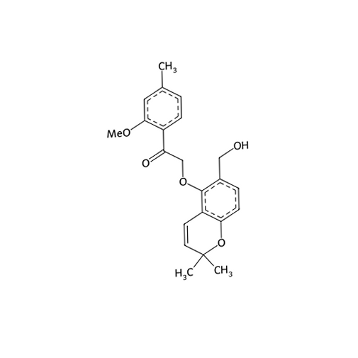 COc1cc(C)ccc1C(=O)COc1c(CO)ccc2c1C=CC(C)(C)O2